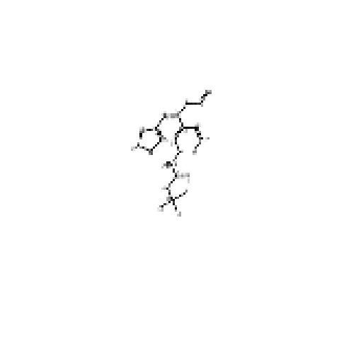 C=CCc1cc2c(c(CNC(=C)CC(C)(C)C)c1/C=C\C)CCC2